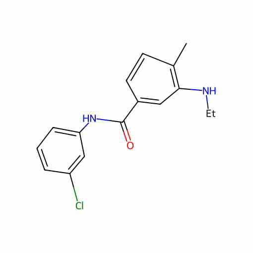 CCNc1cc(C(=O)Nc2cccc(Cl)c2)ccc1C